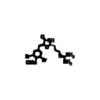 COc1c(Br)cc(/C=C2\O[C@@H](CCCN=C(N)N)NC2=O)cc1Br